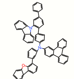 c1ccc(-c2ccc(-c3ccc(N(c4cccc(-c5cccc6c5oc5ccccc56)c4)c4ccc5c6ccccc6c6ccccc6c5c4)cc3)c(-n3c4ccccc4c4ccccc43)c2)cc1